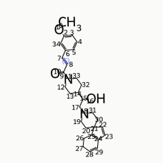 COc1cccc(/C=C/C(=O)N2CCC(C(O)CN3CCC4(C=CC5=C4CCC=C5)CC3)CC2)c1